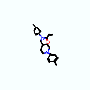 CCC(=O)N(CC1CCN(c2ccc(C)cc2)CC1)c1ccc(C)cc1